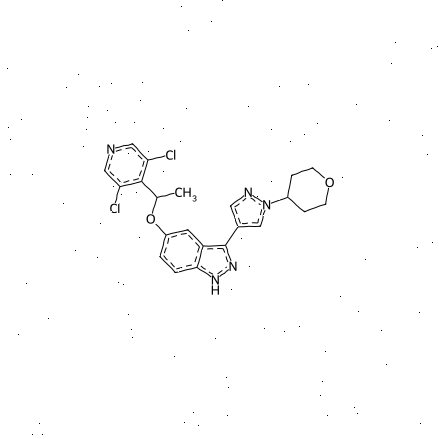 CC(Oc1ccc2[nH]nc(-c3cnn(C4CCOCC4)c3)c2c1)c1c(Cl)cncc1Cl